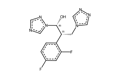 O[C@H]([C@H](Cn1cnnc1)c1ccc(F)cc1F)n1cncn1